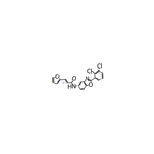 O=C(/C=C/c1ccco1)Nc1ccc2oc(-c3cccc(Cl)c3Cl)nc2c1